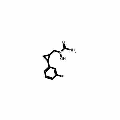 NC(=O)N(O)CC1CC1c1cccc(F)c1